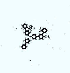 Cc1ccccc1-c1cc(-c2ccc(N(c3ccc(-c4ccccc4)cc3)c3ccc4c(c3)C(C)(C)c3ccccc3-4)cc2)ccc1C